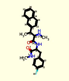 CNC(=O)C(Cc1ccc(F)cc1)NC(=O)C(NC)C(C)c1ccc2ccccc2c1